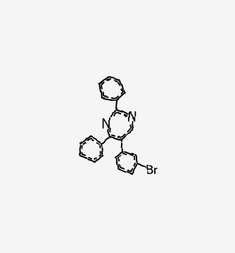 Brc1cccc(-c2cnc(-c3ccccc3)nc2-c2ccccc2)c1